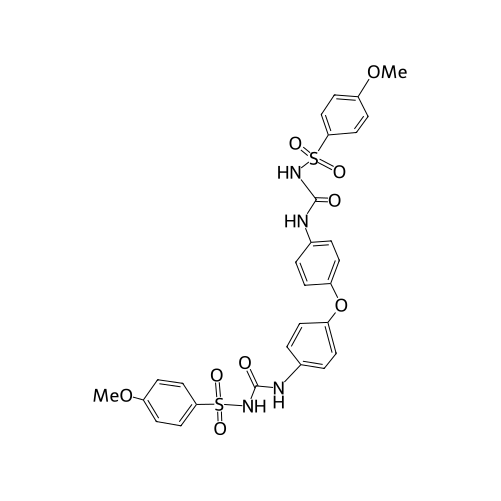 COc1ccc(S(=O)(=O)NC(=O)Nc2ccc(Oc3ccc(NC(=O)NS(=O)(=O)c4ccc(OC)cc4)cc3)cc2)cc1